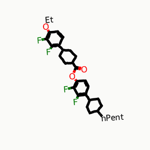 CCCCCC1CCC(c2ccc(OC(=O)C3CCC(c4ccc(OCC)c(F)c4F)CC3)c(F)c2F)CC1